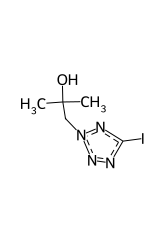 CC(C)(O)Cn1nnc(I)n1